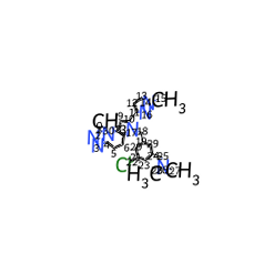 Cc1nnc2ccc3c(cc(-c4ccn(C)n4)n3Cc3cc(Cl)cc(CN(C)C)c3)n12